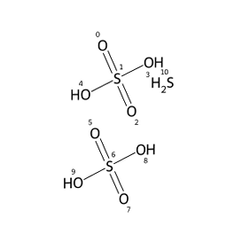 O=S(=O)(O)O.O=S(=O)(O)O.S